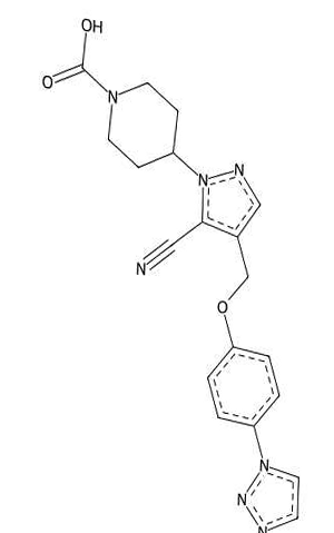 N#Cc1c(COc2ccc(-n3ccnn3)cc2)cnn1C1CCN(C(=O)O)CC1